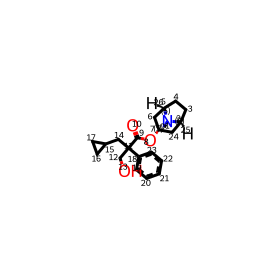 CN1[C@@H]2CC[C@H]1C[C@H](OC(=O)C(CO)(CC1CC1)c1ccccc1)C2